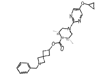 C[C@@H]1CN(c2ncc(OC3CC3)cn2)C[C@H](C)N1C(=O)OC1CC2(C1)CN(Cc1ccccc1)C2